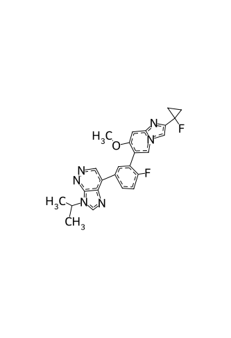 COc1cc2nc(C3(F)CC3)cn2cc1-c1cc(-c2cnnc3c2ncn3C(C)C)ccc1F